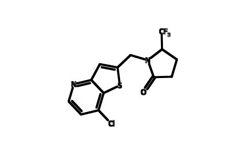 O=C1CCC(C(F)(F)F)N1Cc1cc2nccc(Cl)c2s1